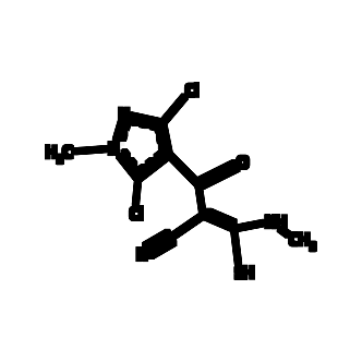 CN/C(S)=C(/C#N)C(=O)c1c(Cl)nn(C)c1Cl